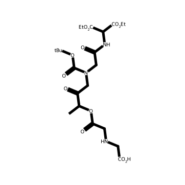 CCOC(=O)C(NC(=O)CN(CC(=O)C(C)OC(=O)CNCC(=O)O)C(=O)OC(C)(C)C)C(=O)OCC